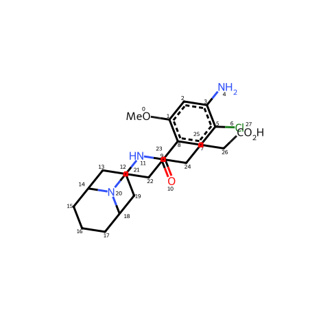 COc1cc(N)c(Cl)cc1C(=O)NC1CC2CCCC(C1)N2CCCCCCC(=O)O